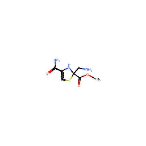 CC(C)(C)OC(=O)C1(CN)NC(C(N)=O)=CS1